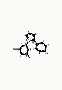 Cc1cc(C)cc(-n2cccc2-c2ccccc2)c1